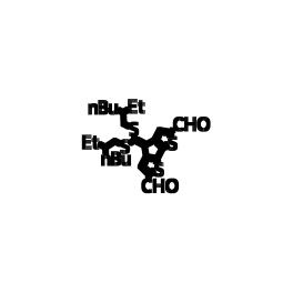 CCCCC(CC)CSC(SCC(CC)CCCC)=C1c2cc(C=O)sc2-c2sc(C=O)cc21